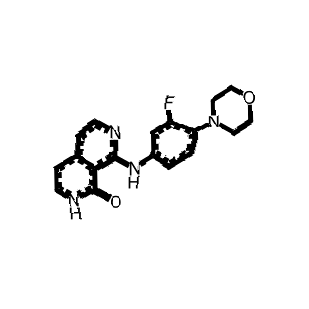 O=c1[nH]ccc2ccnc(Nc3ccc(N4CCOCC4)c(F)c3)c12